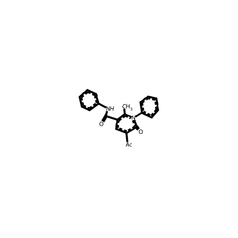 CC(=O)c1cc(C(=O)Nc2ccccc2)c(C)n(-c2ccccc2)c1=O